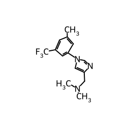 Cc1cc(-n2cnc(CN(C)C)c2)cc(C(F)(F)F)c1